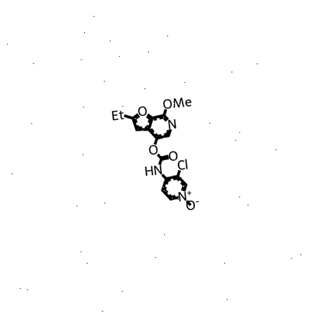 CCc1cc2c(OC(=O)Nc3cc[n+]([O-])cc3Cl)cnc(OC)c2o1